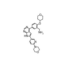 NCc1cc(-c2ncnc3[nH]c(-c4ccc(N5CCOCC5)nc4)cc23)ccc1OC1CCOCC1